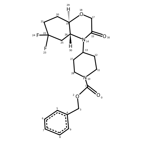 O=C(OCc1ccccc1)N1CCC(N2C(=O)CO[C@@H]3CCC(F)(F)C[C@H]32)CC1